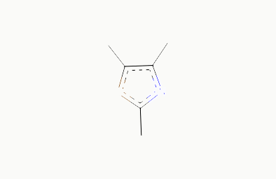 Cc1nc(C)c(C)s1